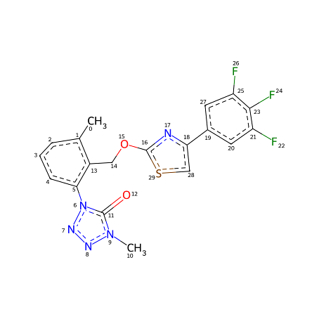 Cc1cccc(-n2nnn(C)c2=O)c1COc1nc(-c2cc(F)c(F)c(F)c2)cs1